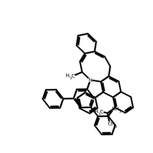 CC(C)C1=C2C(c3ccccc3)=C3C(=CC2CC=C1)C/C=c1/cccc/c1=C/C(C)N3c1cc(-c2ccccc2)cc(C2=CC=CCC2C)n1